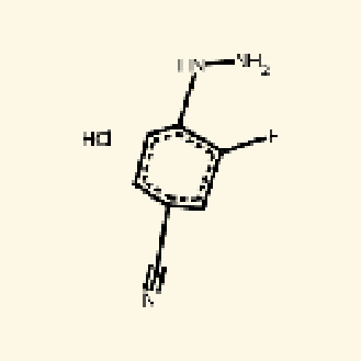 Cl.N#Cc1ccc(NN)c(F)c1